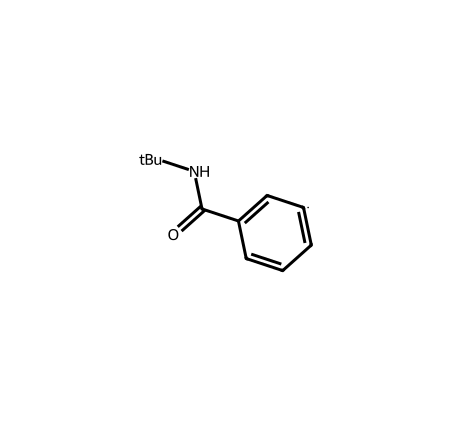 CC(C)(C)NC(=O)c1c[c]ccc1